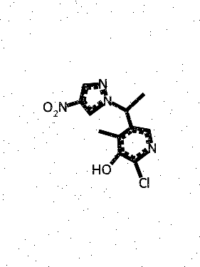 Cc1c(C(C)n2cc([N+](=O)[O-])cn2)cnc(Cl)c1O